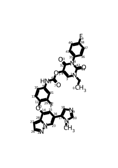 CCn1cc(OC(=O)Nc2ccc(Oc3cc(-c4cncn4C)cn4nccc34)c(F)c2)c(=O)n(-c2ccc(F)cc2)c1=O